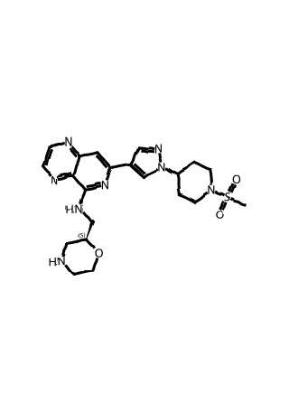 CS(=O)(=O)N1CCC(n2cc(-c3cc4nccnc4c(NC[C@@H]4CNCCO4)n3)cn2)CC1